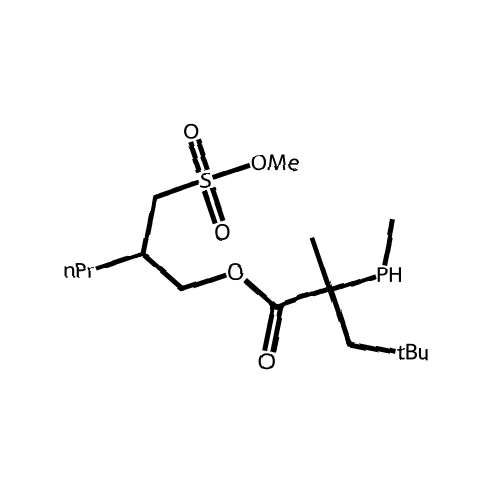 CCCC(COC(=O)C(C)(CC(C)(C)C)PC)CS(=O)(=O)OC